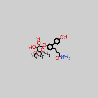 CO[C@@H]1[C@@H](O)[C@H](O)C(Oc2ccc(CCCC(N)=O)c(-c3ccc(O)cc3)c2)OC1(C)C